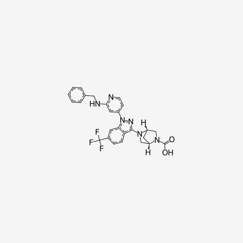 O=C(O)N1C[C@@H]2C[C@H]1CN2c1nn(-c2ccnc(NCc3ccccc3)c2)c2cc(C(F)(F)F)ccc12